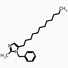 CCCCCCCCCCCCc1cnc(C)n1Cc1ccccc1